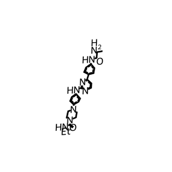 CCNC(=O)N1CCN(c2ccc(Nc3nccc(-c4ccc(NC(=O)C(C)N)cc4)n3)cc2)CC1